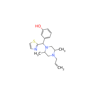 C=CCN1CC(C)N(C(c2cccc(O)c2)c2nccs2)CC1C